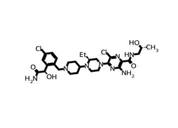 CC[C@H]1CN(c2nc(N)c(C(=O)NC[C@@H](C)O)nc2Cl)CCN1C1CCN(Cc2ccc(Cl)cc2[C@@H](O)C(N)=O)CC1